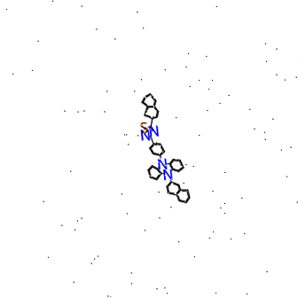 c1ccc2c(c1)N(c1ccc(-c3nsc(-c4ccc5ccccc5c4)n3)cc1)c1ccccc1N2c1ccc2ccccc2c1